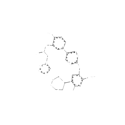 COc1cc(F)c(C2CCNCC2)cc1Nc1ncc(-c2ccc(C#N)c(OC(C)Cn3cnnn3)c2)cn1.Cl